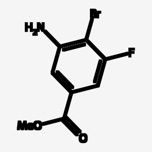 COC(=O)c1cc(N)c(Br)c(F)c1